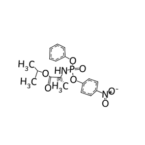 CC(C)OC(=O)[C@@H](C)NP(=O)(Oc1ccccc1)Oc1ccc([N+](=O)[O-])cc1